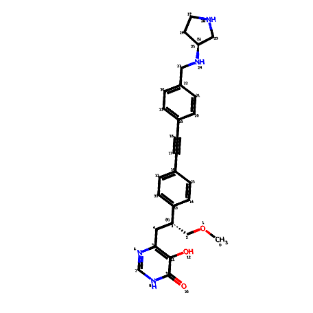 COC[C@H](Cc1nc[nH]c(=O)c1O)c1ccc(C#Cc2ccc(CN[C@H]3CCNC3)cc2)cc1